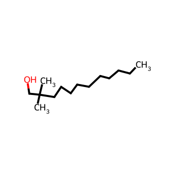 CCCCCCCCCCC(C)(C)CO